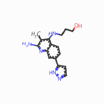 Cc1c(N)nc2cc(-c3ccn[nH]3)ccc2c1NCCCO